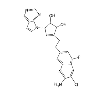 Nc1nc2cc(CCC3=CC(n4ccc5cncnc54)C(O)C3O)cc(F)c2cc1Cl